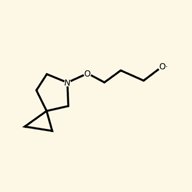 [O]CCCON1CCC2(CC2)C1